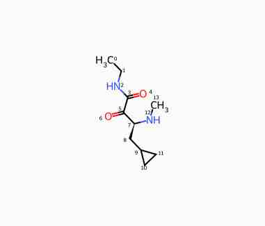 CCNC(=O)C(=O)[C@H](CC1CC1)NC